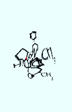 Cc1cc(F)c2c(c1)CC(C)OC[C@]21CNC[C@H]1C(=O)N1CC[C@@H](c2ccccc2)C[C@H]1C1CCCCC1